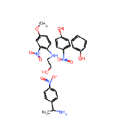 COc1ccc(NCCO)c([N+](=O)[O-])c1.O=[N+]([O-])c1ccc(O)cc1.Oc1ccccc1.[CH2]C(N)c1ccc([N+](=O)[O-])cc1